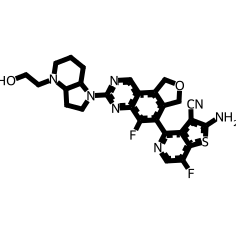 N#Cc1c(N)sc2c(F)cnc(-c3c4c(c5cnc(N6CCC7C6CCCN7CCO)nc5c3F)COC4)c12